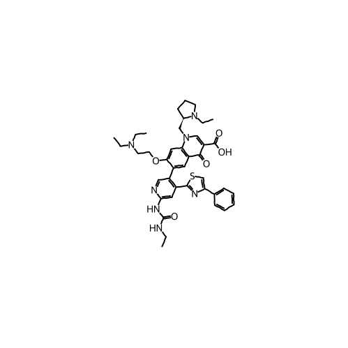 CCNC(=O)Nc1cc(-c2nc(-c3ccccc3)cs2)c(-c2cc3c(=O)c(C(=O)O)cn(C[C@H]4CCCN4CC)c3cc2OCCN(CC)CC)cn1